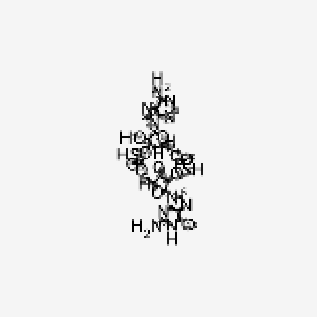 Nc1nc2c(ncn2[C@@H]2O[C@@H]3COP(=O)(S)OC4C(O)[C@H](n5cnc6c(N)ncnc65)O[C@@H]4COP(=O)(S)OC2C3O)c(=O)[nH]1